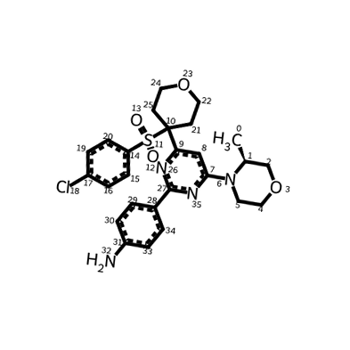 C[C@H]1COCCN1c1cc(C2(S(=O)(=O)c3ccc(Cl)cc3)CCOCC2)nc(-c2ccc(N)cc2)n1